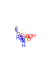 O=C(O)Oc1cc2c(NC(=O)c3ccc(CN4CCCC4)cc3)n[nH]c2s1